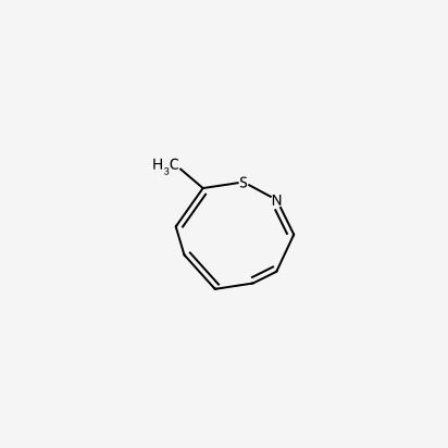 Cc1ccccccns1